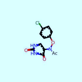 CC(=O)N(Oc1ccc(Cl)cc1)c1c[nH]c(=O)[nH]c1=O